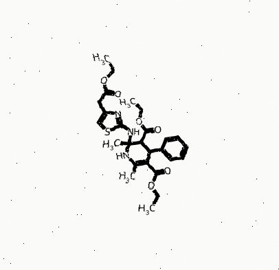 CCOC(=O)Cc1csc(NC2(C)NC(C)=C(C(=O)OCC)C(c3ccccc3)C2C(=O)OCC)n1